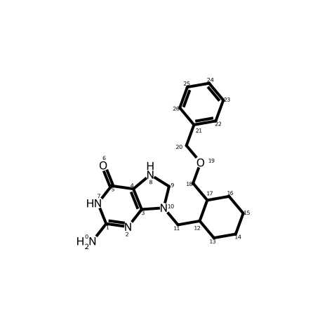 Nc1nc2c(c(=O)[nH]1)NCN2CC1CCCCC1COCc1ccccc1